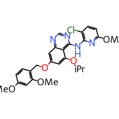 COc1ccc(COc2cc(OC(C)C)c3c(Nc4nc(OC)ccc4Cl)ncnc3c2)c(OC)c1